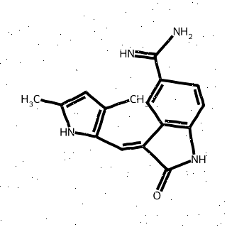 Cc1cc(C)c(C=C2C(=O)Nc3ccc(C(=N)N)cc32)[nH]1